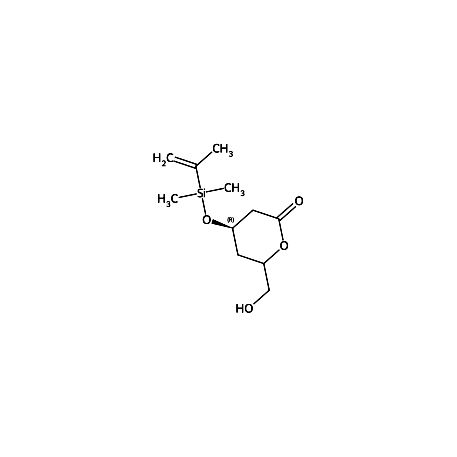 C=C(C)[Si](C)(C)O[C@H]1CC(=O)OC(CO)C1